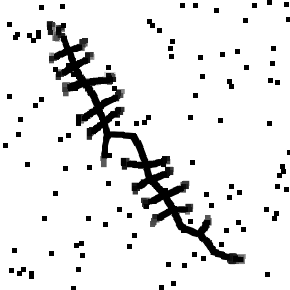 OCC(I)CC(F)(F)C(F)(F)C(F)(F)C(F)(F)CC(I)C(F)(F)C(F)(F)C(F)(F)C(F)(F)C(F)(F)C(F)(F)F